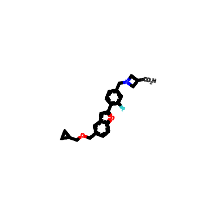 O=C(O)C1CN(Cc2ccc(-c3cc4cc(COCC5CC5)ccc4o3)c(F)c2)C1